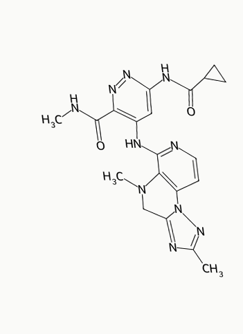 CNC(=O)c1nnc(NC(=O)C2CC2)cc1Nc1nccc2c1N(C)Cc1nc(C)nn1-2